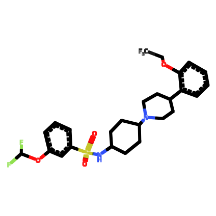 O=S(=O)(NC1CCC(N2CCC(c3ccccc3OCC(F)(F)F)CC2)CC1)c1cccc(OC(F)F)c1